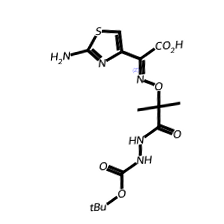 CC(C)(C)OC(=O)NNC(=O)C(C)(C)O/N=C(\C(=O)O)c1csc(N)n1